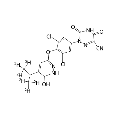 [2H]C([2H])([2H])C(C1=CC(Oc2c(Cl)cc(-n3nc(C#N)c(=O)[nH]c3=O)cc2Cl)=NNC1O)C([2H])([2H])[2H]